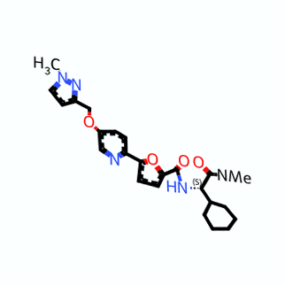 CNC(=O)[C@@H](NC(=O)c1ccc(-c2ccc(OCc3ccn(C)n3)cn2)o1)C1CCCCC1